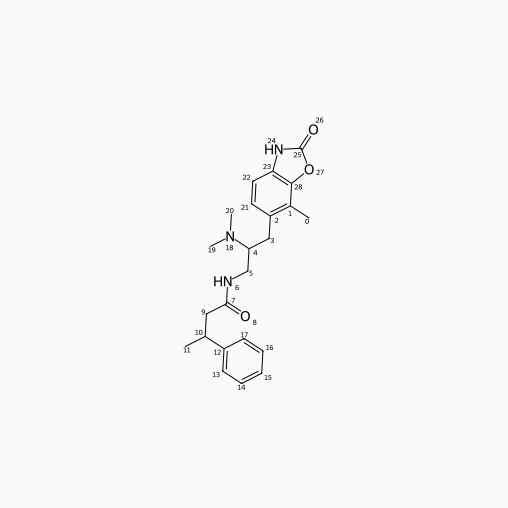 Cc1c(CC(CNC(=O)CC(C)c2ccccc2)N(C)C)ccc2[nH]c(=O)oc12